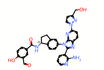 Nc1ncccc1-c1nc2ccc(-n3ccc(CO)n3)nc2n1-c1ccc2c(c1)CC[C@@H]2NC(=O)c1ccc(O)c(C=O)c1